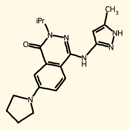 Cc1cc(Nc2nn(C(C)C)c(=O)c3cc(N4CCCC4)ccc23)n[nH]1